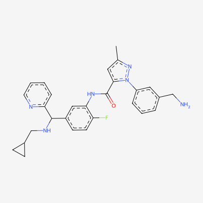 Cc1cc(C(=O)Nc2cc(C(NCC3CC3)c3ccccn3)ccc2F)n(-c2cccc(CN)c2)n1